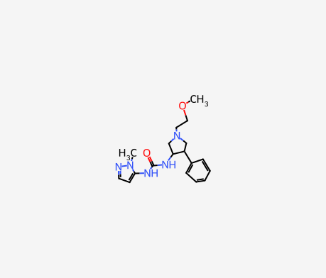 COCCN1CC(NC(=O)Nc2ccnn2C)C(c2ccccc2)C1